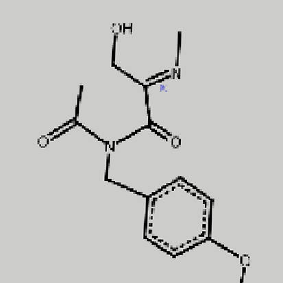 C/N=C(\CO)C(=O)N(Cc1ccc(OC)cc1)C(C)=O